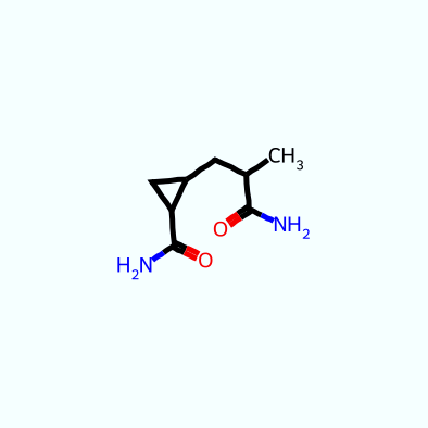 CC(CC1CC1C(N)=O)C(N)=O